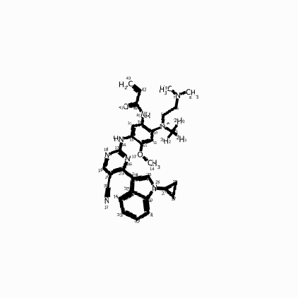 [2H]C([2H])([2H])N(CCN(C)C)c1cc(OC)c(Nc2ncc(C#N)c(-c3cn(C4CC4)c4ccccc34)n2)cc1NC(=O)C=C